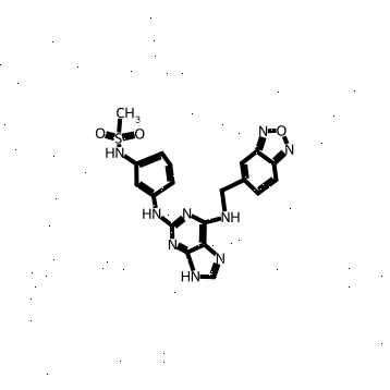 CS(=O)(=O)Nc1cccc(Nc2nc(NCc3ccc4nonc4c3)c3nc[nH]c3n2)c1